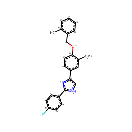 COc1cc(-c2c[nH]c(-c3ccc(F)cc3)n2)ccc1OCc1ccccc1C#N